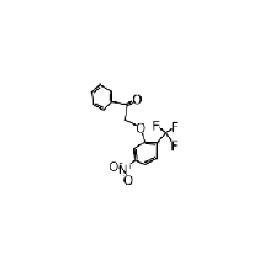 O=C(COc1cc([N+](=O)[O-])ccc1C(F)(F)F)c1ccccc1